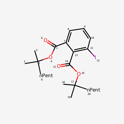 CCCCCC(C)(C)OC(=O)c1cccc(I)c1C(=O)OC(C)(C)CCCCC